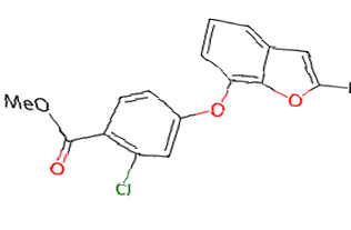 CCc1cc2cccc(Oc3ccc(C(=O)OC)c(Cl)c3)c2o1